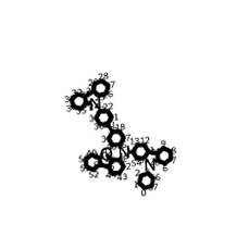 c1ccc(-n2c3ccccc3c3ccc(N(c4ccc(-c5ccc(-n6c7ccccc7c7ccccc76)cc5)cc4)c4cccc5c4oc4ccccc45)cc32)cc1